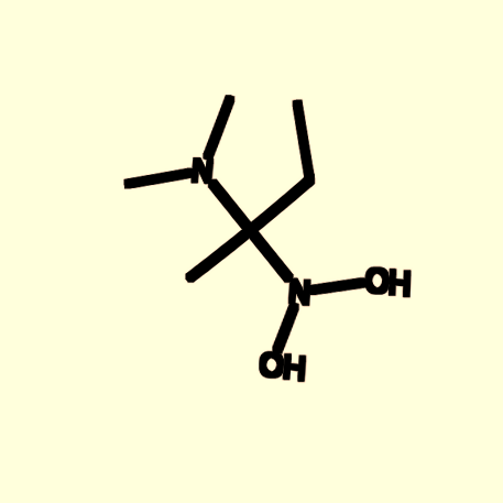 CCC(C)(N(C)C)N(O)O